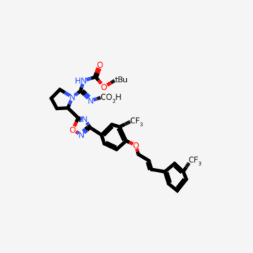 CC(C)(C)OC(=O)NC(=NC(=O)O)N1CCCC1c1nc(-c2ccc(OCC=Cc3cccc(C(F)(F)F)c3)c(C(F)(F)F)c2)no1